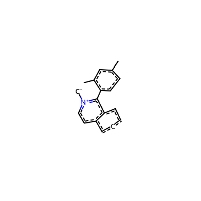 [CH2-][n+]1ccc2ccccc2c1-c1ccc(C)cc1C